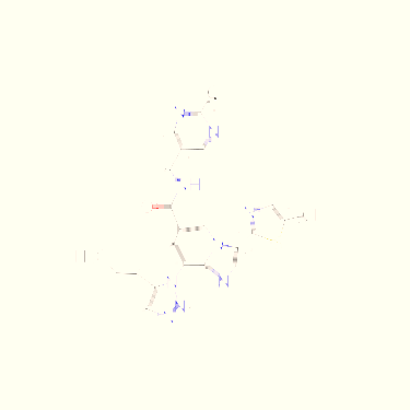 CCCc1cnnn1-c1cc(C(=O)NCc2cnc(C)nc2)cn2c(-c3ncc(C)s3)cnc12